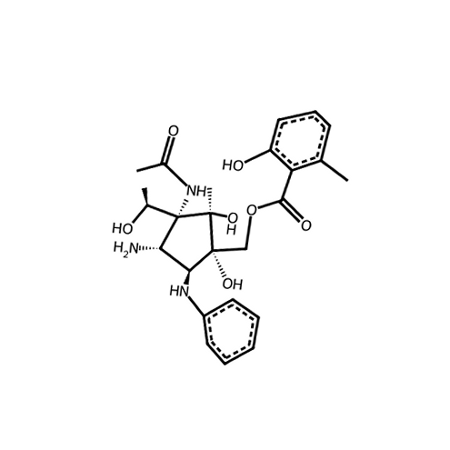 CC(=O)N[C@@]1([C@H](C)O)[C@@H](N)[C@H](Nc2ccccc2)[C@](O)(COC(=O)c2c(C)cccc2O)[C@]1(C)O